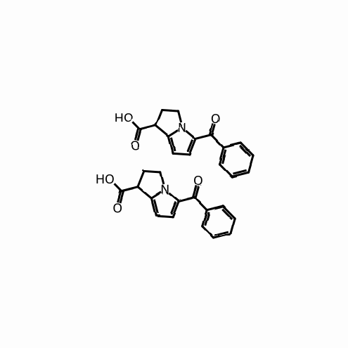 O=C(c1ccccc1)c1ccc2n1CCC2C(=O)O.O=C(c1ccccc1)c1ccc2n1CCC2C(=O)O